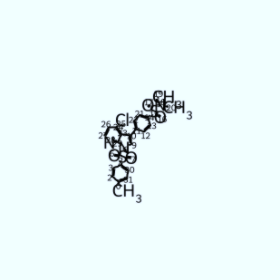 Cc1ccc(S(=O)(=O)n2cc(-c3ccc(S(=O)(=O)N(C)C)cc3)c3c(Cl)ccnc32)cc1